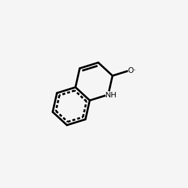 [O]C1C=Cc2ccccc2N1